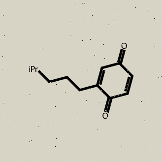 CC(C)CCCC1=CC(=O)C=CC1=O